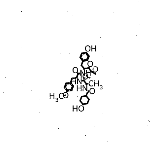 COc1ccc(CC(NC(=O)C(C)NC(=O)C2CCC(O)CC2)C(=O)NC(Cc2ccc(O)cc2)C(=O)C2(C)CO2)cc1